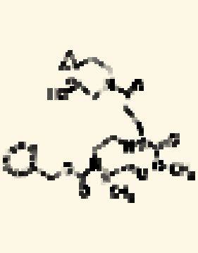 COC(=O)[C@H](CCC(=O)N1CCC2(CC2)[C@H](O)C1)N1CCN(C(=O)OCc2ccccc2)[C@@H](C)C1=O